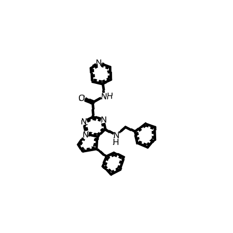 O=C(Nc1ccncc1)c1nc(NCc2ccccc2)c2c(-c3ccccc3)ccn2n1